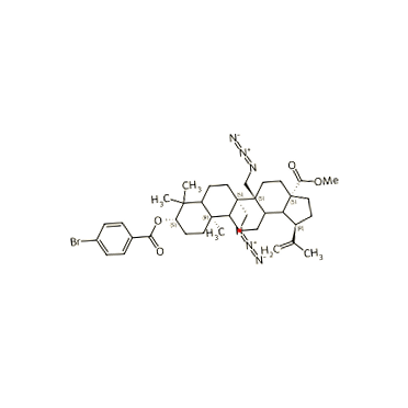 C=C(C)[C@@H]1CC[C@]2(C(=O)OC)CC[C@]3(CN=[N+]=[N-])C(CCC4[C@@]5(C)CC[C@H](OC(=O)c6ccc(Br)cc6)C(C)(C)C5CC[C@]43CN=[N+]=[N-])C12